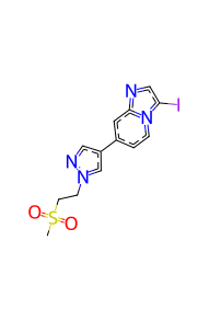 CS(=O)(=O)CCn1cc(-c2ccn3c(I)cnc3c2)cn1